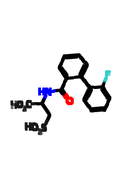 O=C(NC(CS(=O)(=O)O)C(=O)O)c1ccccc1-c1ccccc1F